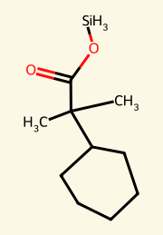 CC(C)(C(=O)O[SiH3])C1CCCCC1